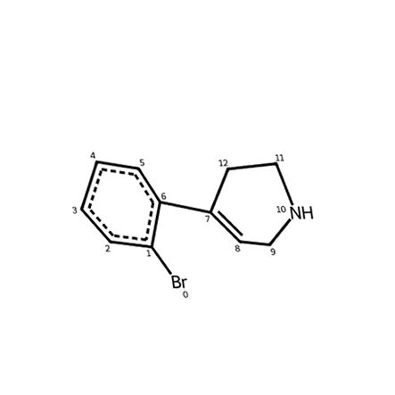 Brc1ccccc1C1=CCNCC1